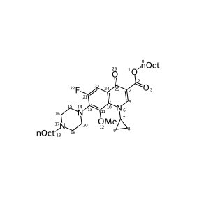 CCCCCCCCOC(=O)c1cn(C2CC2)c2c(OC)c(N3CCN(CCCCCCCC)CC3)c(F)cc2c1=O